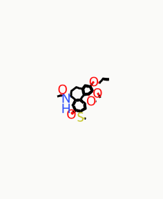 C=CCOc1cc2c(c(OC)c1OC)-c1ccc(SC)c(=O)cc1C(NC(C)=O)CC2